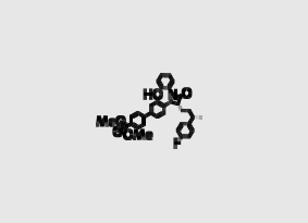 COP(=O)(OC)c1ccc(-c2ccc([C@@H]3[C@@H](CC[C@H](C)c4ccc(F)cc4)C(=O)N3c3ccccc3)c(O)c2)cc1